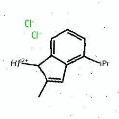 CC1=Cc2c(C(C)C)cccc2[CH]1[Hf+2].[Cl-].[Cl-]